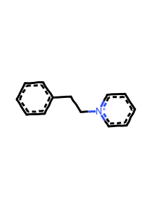 c1ccc(CC[n+]2ccccc2)cc1